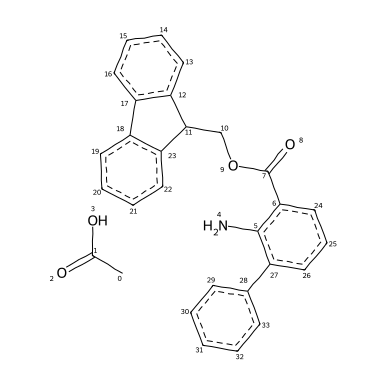 CC(=O)O.Nc1c(C(=O)OCC2c3ccccc3-c3ccccc32)cccc1-c1ccccc1